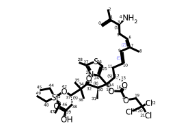 C=C(C)[C@@H](N)C/C=C(C)\C=C\C[C@H](C)[C@](OC(=O)OCC(Cl)(Cl)Cl)(c1csc(C)n1)[C@@H](C)C(=O)C(C)(C)[C@H](CC(=O)O)O[Si](CC)(CC)CC